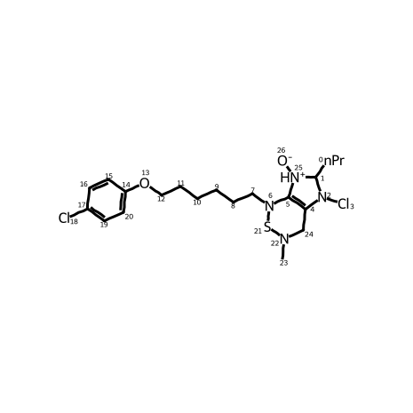 CCCC1N(Cl)C2=C(N(CCCCCCOc3ccc(Cl)cc3)SN(C)C2)[NH+]1[O-]